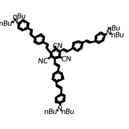 CCCCN(CCCC)c1ccc(/C=C/c2ccc(/C=C/c3c(C#N)c(/C=C/c4ccc(/C=C/c5ccc(N(CCCC)CCCC)cc5)cc4)c(C#N)c(/C=C/c4ccc(/C=C/c5ccc(N(CCCC)CCCC)cc5)cc4)c3C#N)cc2)cc1